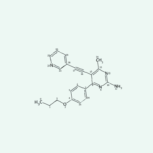 CCCOc1ccc(-c2nc(N)nc(C)c2C#Cc2cccnc2)cc1